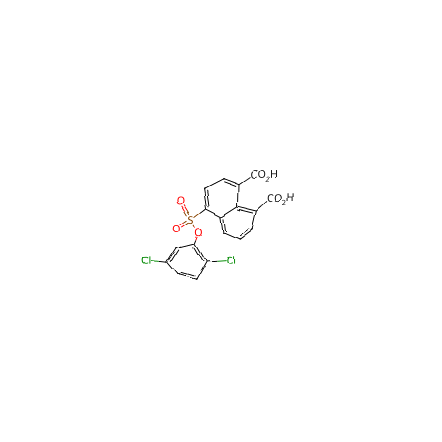 O=C(O)c1cccc2c(S(=O)(=O)Oc3cc(Cl)ccc3Cl)ccc(C(=O)O)c12